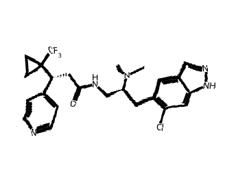 CN(C)[C@H](CNC(=O)C[C@H](c1ccncc1)C1(C(F)(F)F)CC1)Cc1cc2cn[nH]c2cc1Cl